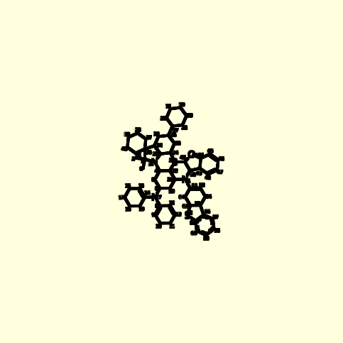 CC1(C)N2C3CC(N(C4=CCCC=C4)C4=CCCCC4)CC4C3B(C3CC(C5CCCCC5)CC(C32)C12CCCCC2)C1OC2C=CC=CC2C1N4C1=CCC2c3ccccc3SC2C1